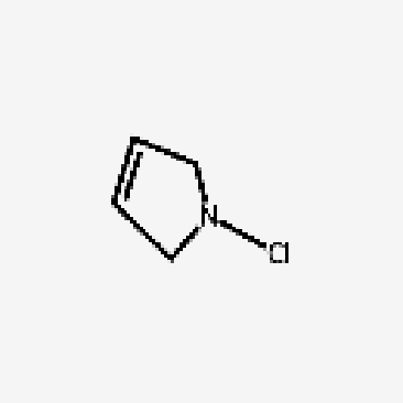 ClN1CC=CC1